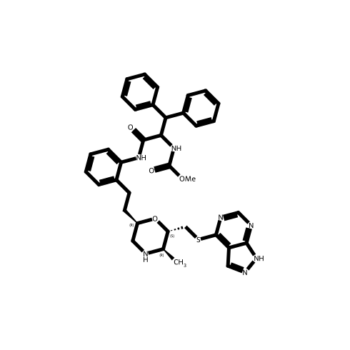 COC(=O)NC(C(=O)Nc1ccccc1CC[C@@H]1CN[C@H](C)[C@@H](CSc2ncnc3[nH]ncc23)O1)C(c1ccccc1)c1ccccc1